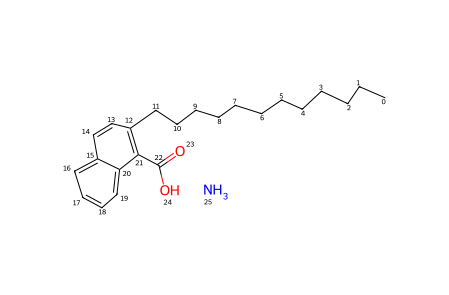 CCCCCCCCCCCCc1ccc2ccccc2c1C(=O)O.N